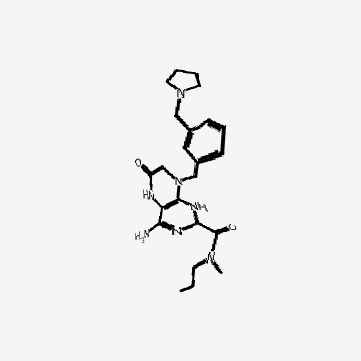 CCCN(C)C(=O)C1N=C(N)C2=C(N1)N(Cc1cccc(CN3CCCC3)c1)CC(=O)N2